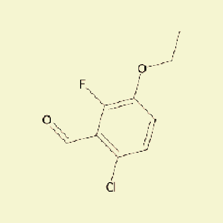 CCOc1ccc(Cl)c(C=O)c1F